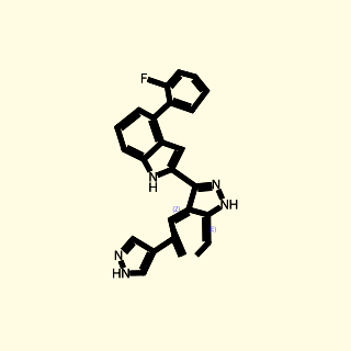 C=C(/C=c1/c(-c2cc3c(-c4ccccc4F)cccc3[nH]2)n[nH]/c1=C/C)c1cn[nH]c1